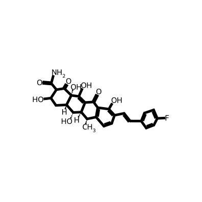 C[C@H]1c2ccc(/C=C/c3ccc(F)cc3)c(O)c2C(=O)C2=C(O)[C@]3(O)C(=O)C(C(N)=O)C(O)C[C@@H]3[C@@H](O)[C@@H]21